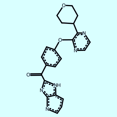 O=C(c1ccc(Oc2nccnc2C2CCOCC2)cc1)c1nc2ncccc2[nH]1